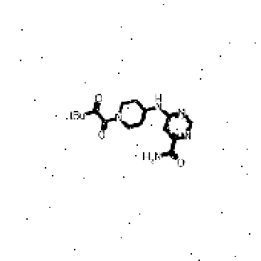 CC(C)(C)C(=O)C(=O)N1CCC(Nc2cc(C(N)=O)ncn2)CC1